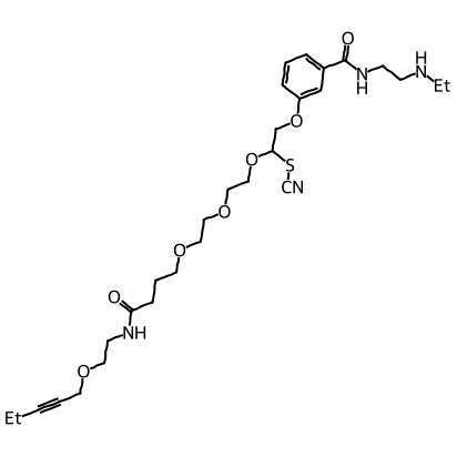 CCC#CCOCCNC(=O)CCCOCCOCCOC(COc1cccc(C(=O)NCCNCC)c1)SC#N